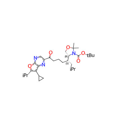 CC(C)C[C@H](CCCC(=O)c1cnc2oc(C(C)C)c(C3CC3)c2n1)[C@@H]1COC(C)(C)N1C(=O)OC(C)(C)C